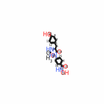 CC(=O)NC(Cc1ccc(O)cc1)C(=O)Nc1ccc(C(=O)NO)cc1